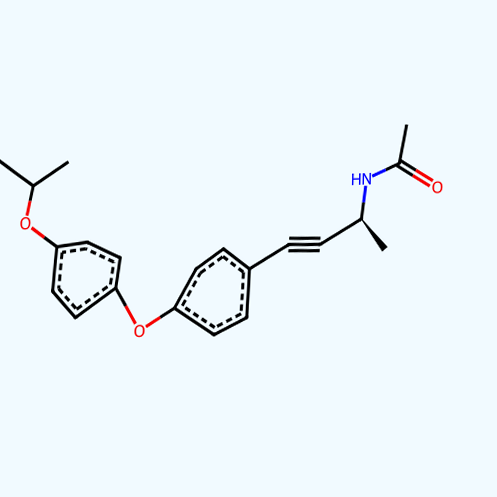 CC(=O)N[C@@H](C)C#Cc1ccc(Oc2ccc(OC(C)C)cc2)cc1